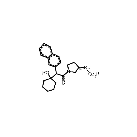 O=C(O)N[C@@H]1CCN(C(=O)C(c2ccc3ccccc3c2)C2(O)CCCCC2)C1